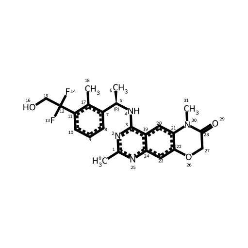 Cc1nc(N[C@H](C)c2cccc(C(F)(F)CO)c2C)c2cc3c(cc2n1)OCC(=O)N3C